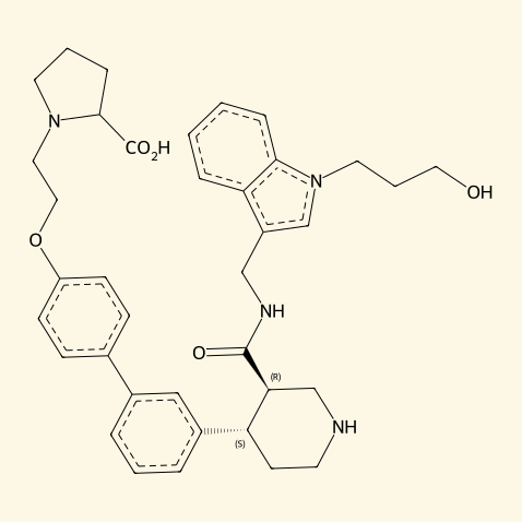 O=C(O)C1CCCN1CCOc1ccc(-c2cccc([C@H]3CCNC[C@@H]3C(=O)NCc3cn(CCCO)c4ccccc34)c2)cc1